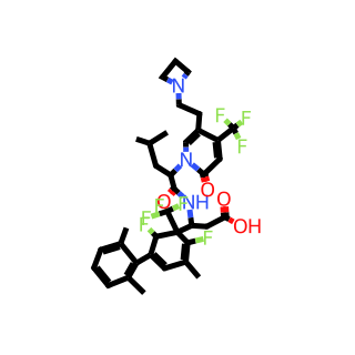 CC1=C(F)C(C(CC(=O)O)NC(=O)C(CC(C)C)n2cc(CCN3CCC3)c(C(F)(F)F)cc2=O)(C(F)(F)F)C(F)C(c2c(C)cccc2C)=C1